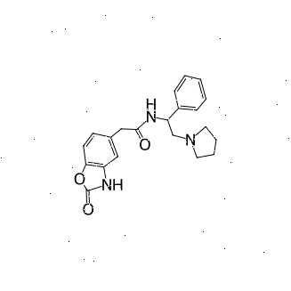 O=C(Cc1ccc2oc(=O)[nH]c2c1)NC(CN1CCCC1)c1ccccc1